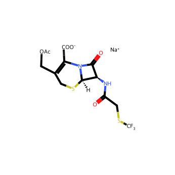 CC(=O)OCC1=C(C(=O)[O-])N2C(=O)[C@@H](NC(=O)CSC(F)(F)F)[C@H]2SC1.[Na+]